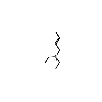 CC=CC[SiH](CC)CC